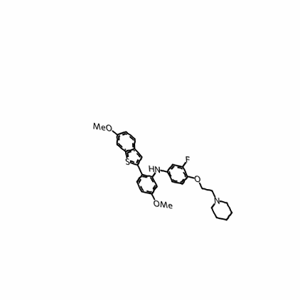 COc1ccc(-c2cc3ccc(OC)cc3s2)c(Nc2ccc(OCCN3CCCCC3)c(F)c2)c1